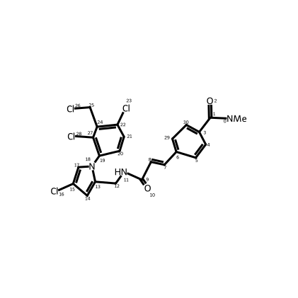 CNC(=O)c1ccc(C=CC(=O)NCc2cc(Cl)cn2-c2ccc(Cl)c(CCl)c2Cl)cc1